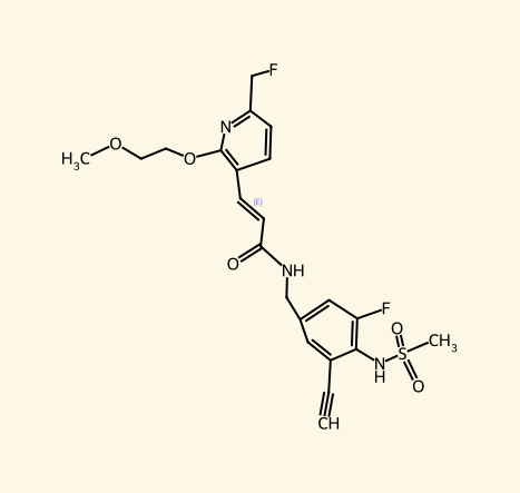 C#Cc1cc(CNC(=O)/C=C/c2ccc(CF)nc2OCCOC)cc(F)c1NS(C)(=O)=O